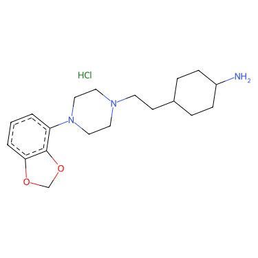 Cl.NC1CCC(CCN2CCN(c3cccc4c3OCO4)CC2)CC1